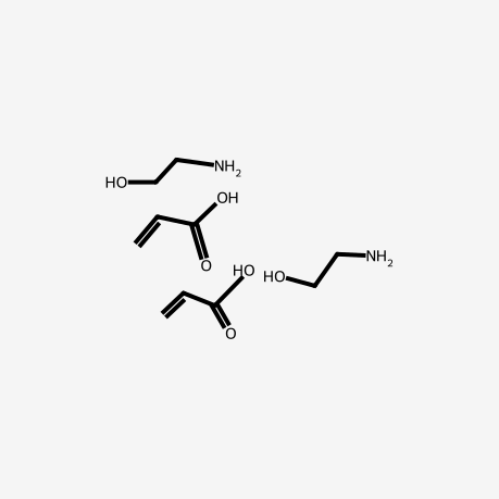 C=CC(=O)O.C=CC(=O)O.NCCO.NCCO